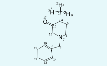 [2H]C([2H])([2H])C1CCN(Cc2ccccc2)CC1=O